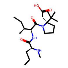 CCC[C@H](NC)C(=O)N[C@H](C(=O)N1CCC[C@]1(CC(=O)O)C(C)(C)C)[C@@H](C)CC